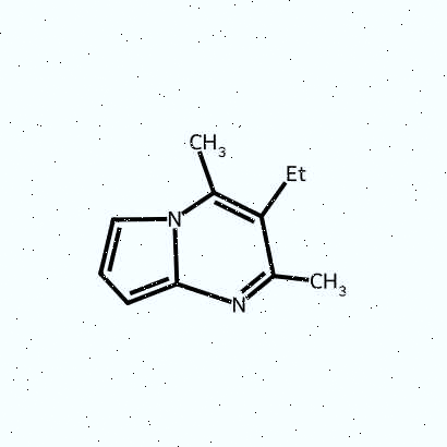 CCc1c(C)nc2cccn2c1C